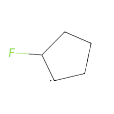 FC1[CH]CCC1